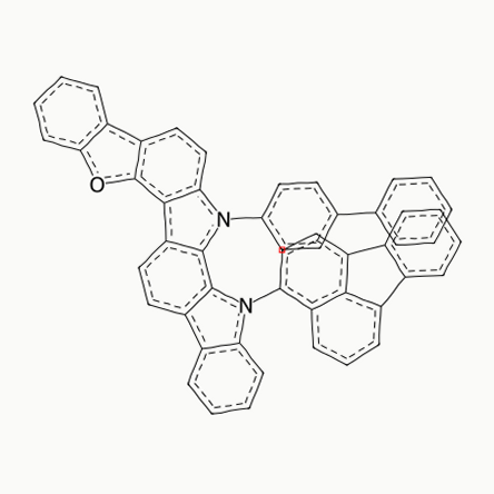 c1ccc(-c2ccc(-n3c4ccc5c6ccccc6oc5c4c4ccc5c6ccccc6n(-c6ccc7c8c(cccc68)-c6ccccc6-7)c5c43)cc2)cc1